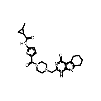 CC1CC1C(=O)Nc1ccc(C(=O)N2CCN(Cc3nc(=O)c4c5c(sc4[nH]3)CCCC5)CC2)s1